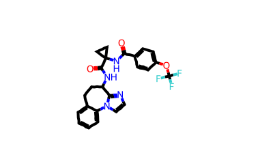 O=C(NC1(C(=O)NC2CCc3ccccc3-n3ccnc32)CC1)c1ccc(OC(F)(F)F)cc1